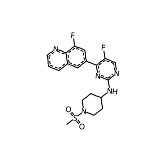 CS(=O)(=O)N1CCC(Nc2ncc(F)c(-c3cc(F)c4ncccc4c3)n2)CC1